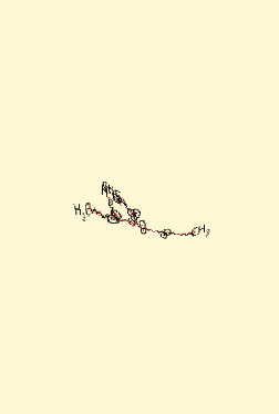 CCCCCCCCCCOC(=O)CCCCCCCC(=O)OCC(COCCCC(OCCCCCCCC)OCCCCCCCC)COC(=O)OCCCN(CC)CC